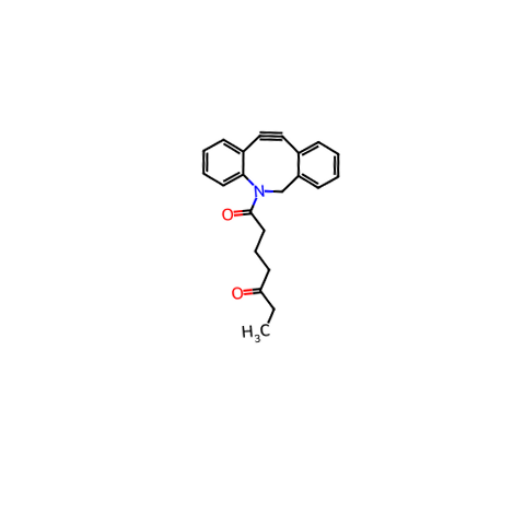 CCC(=O)CCCC(=O)N1Cc2ccccc2C#Cc2ccccc21